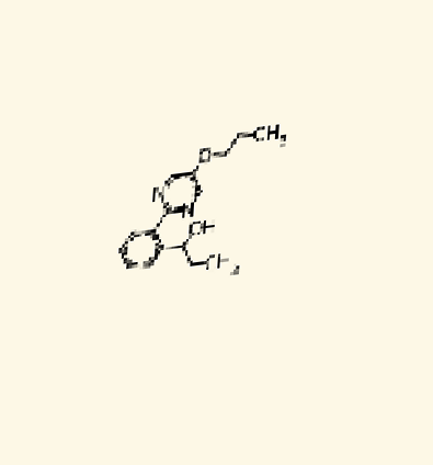 CCCOc1cnc(-c2ccccc2C(O)CC)nc1